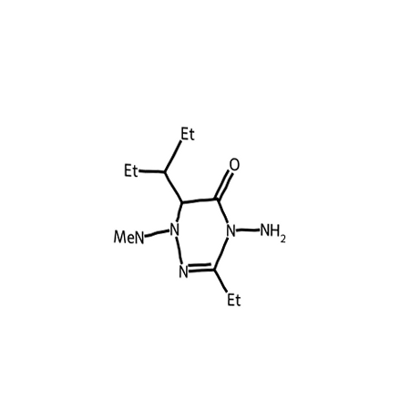 CCC1=NN(NC)C(C(CC)CC)C(=O)N1N